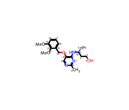 CCC[C@@H](CCO)Nc1nc(C)ncc1OCc1cccc(OC)c1OC